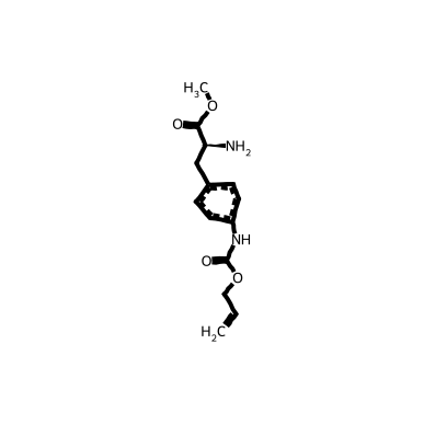 C=CCOC(=O)Nc1ccc(C[C@H](N)C(=O)OC)cc1